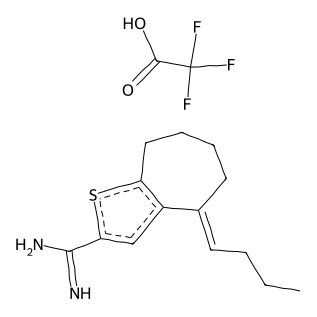 CCC/C=C1\CCCCc2sc(C(=N)N)cc21.O=C(O)C(F)(F)F